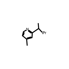 Cc1ccnc(C(C)C(C)C)c1